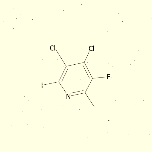 Cc1nc(I)c(Cl)c(Cl)c1F